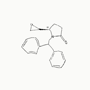 O=C1CC[C@H](C2CO2)N1C(c1ccccc1)c1ccccc1